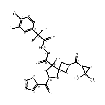 CC1(C)C[C@@H]1C(=O)N1CC2(CN(C(=O)c3cncs3)CC2(F)C(=O)NNC(=O)C(F)(F)c2ccc(Cl)c(Cl)c2)C1